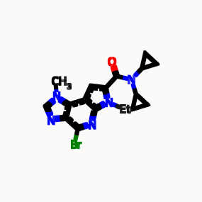 CCn1c(C(=O)N(C2CC2)C2CC2)cc2c3c(ncn3C)c(Br)nc21